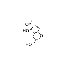 CC(=O)c1ccc2c(c1O)CC(CO)CO2